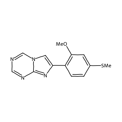 COc1cc(SC)ccc1-c1cn2cncnc2n1